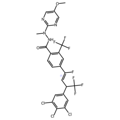 COc1cnc(N(C)NC(=O)c2ccc(/C(F)=C/C(c3cc(Cl)c(Cl)c(Cl)c3)C(F)(F)F)cc2C(F)(F)F)nc1